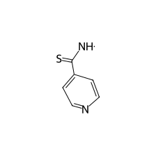 [NH]C(=S)c1ccncc1